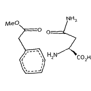 COC(=O)Cc1ccccc1.NC(=O)C[C@H](N)C(=O)O